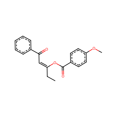 CCC(=CC(=O)c1ccccc1)OC(=O)c1ccc(OC)cc1